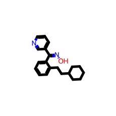 ON=C(c1cccnc1)c1ccccc1CCC1CCCCC1